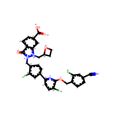 N#Cc1ccc(COc2nc(-c3ccc(Cn4c(=O)c5ccc(C(=O)O)cc5n4CC4CCO4)c(F)c3)ccc2F)c(F)c1